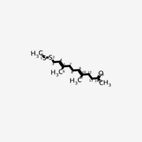 CSSC/C=C(\C)CC/C=C(\C)CCC(C)=O